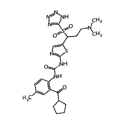 Cc1ccc(NC(=O)Nc2ncc(C(CCN(C)C)S(=O)(=O)c3nnn[nH]3)s2)c(C(=O)C2CCCC2)c1